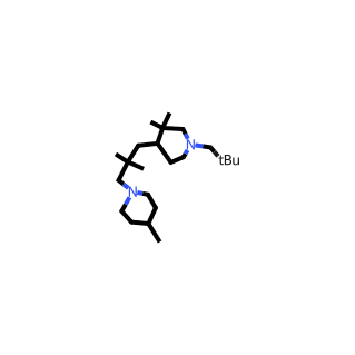 CC1CCN(CC(C)(C)CC2CCN(CC(C)(C)C)CC2(C)C)CC1